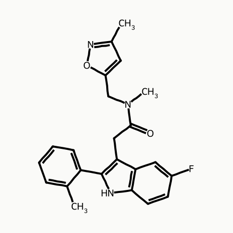 Cc1cc(CN(C)C(=O)Cc2c(-c3ccccc3C)[nH]c3ccc(F)cc23)on1